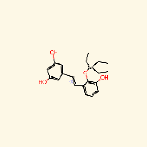 CC[Si](CC)(CC)Oc1c(O)cccc1/C=C/c1cc(O)cc(O)c1